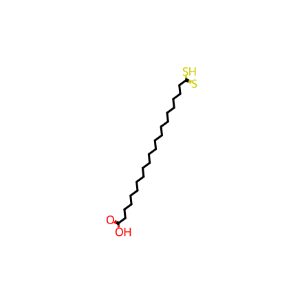 O=C(O)CCCCCCCCCCCCCCCCCCCCC(=S)S